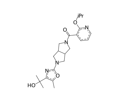 Cc1oc(N2CC3CN(C(=O)c4cccnc4OC(C)C)CC3C2)nc1C(C)(C)O